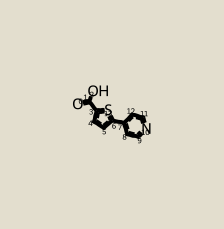 O=C(O)c1ccc(-c2ccncc2)s1